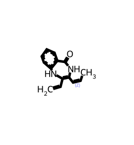 C=CC1=C(/C=C\C)NC(=O)c2ccccc2N1